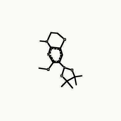 COc1nc2c(cc1B1OC(C)(C)C(C)(C)O1)OCCN2C